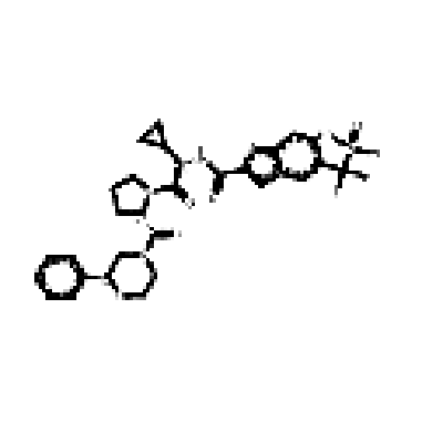 O=C(N[C@H](C(=O)N1CCC[C@H]1C(=O)N1CCO[C@@H](c2ccccc2)C1)C1CC1)c1cc2cc(C(F)(F)P(=O)(O)O)ccc2s1